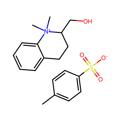 C[N+]1(C)c2ccccc2CCC1CO.Cc1ccc(S(=O)(=O)[O-])cc1